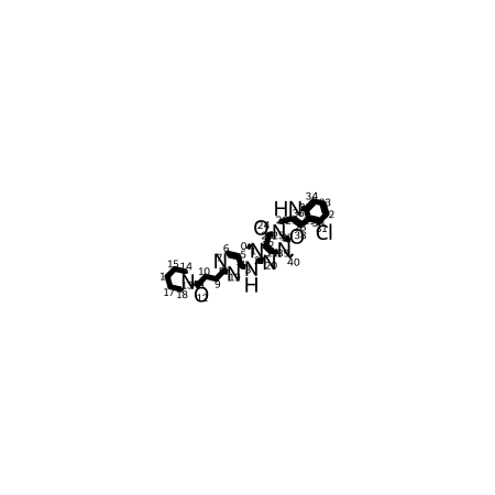 Cn1c(Nc2ccnc(CCC(=O)N3CCCCC3)n2)nc2c1c(=O)n(Cc1cc3c(Cl)cccc3[nH]1)c(=O)n2C